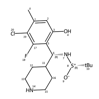 Cc1cc(O)c([C@H](N[S@@+]([O-])C(C)(C)C)C2CCNCC2)c(F)c1Cl